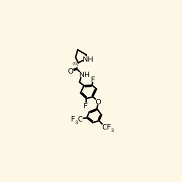 O=C(NCc1cc(F)c(Oc2cc(C(F)(F)F)cc(C(F)(F)F)c2)cc1F)[C@@H]1CCCN1